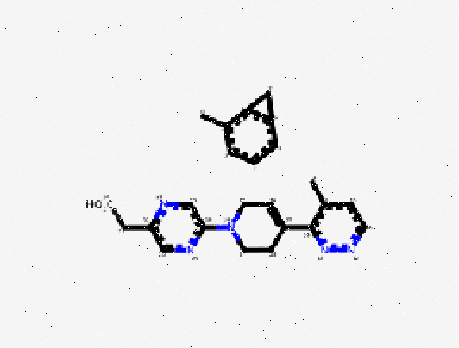 Cc1cccc2c1C2.Cc1ccnnc1C1=CCN(c2cnc(CC(=O)O)cn2)CC1